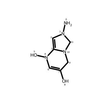 NN1C=C2N(O)C=C(O)CN2C1